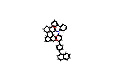 c1ccc(-c2ccccc2N(c2ccc(-c3ccc(-c4cccc5ccccc45)cc3)cc2)c2ccccc2-c2cccc3cccc(C4CCCCC4)c23)cc1